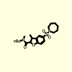 CCCCN(C)C(=O)C1Oc2ccc(S(=O)(=O)N3CCCCCC3)cc2C1C